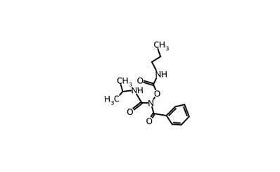 CCCNC(=O)ON(C(=O)NC(C)C)C(=O)c1ccccc1